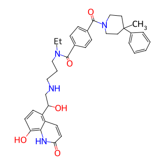 CCN(CCCNCC(O)c1ccc(O)c2[nH]c(=O)ccc12)C(=O)c1ccc(C(=O)N2CCC(C)(c3ccccc3)CC2)cc1